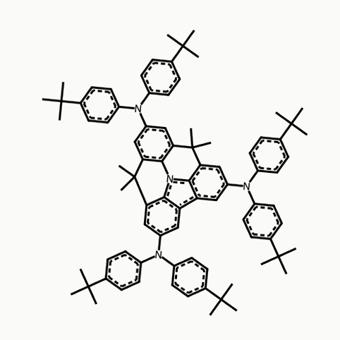 CC(C)(C)c1ccc(N(c2ccc(C(C)(C)C)cc2)c2cc3c4c(c2)C(C)(C)c2cc(N(c5ccc(C(C)(C)C)cc5)c5ccc(C(C)(C)C)cc5)cc5c6cc(N(c7ccc(C(C)(C)C)cc7)c7ccc(C(C)(C)C)cc7)cc(c6n-4c25)C3(C)C)cc1